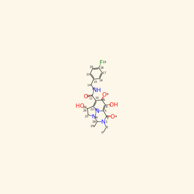 CCN1C(=O)c2c(O)c(=O)c(C(=O)NCc3ccc(F)cc3)c3n2N(CC3O)C1C